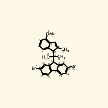 COc1cccc2c1C=C(C)C2C(C)(C)C1c2cc(Br)ccc2-c2ccc(Br)cc21